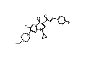 CCN1CCN(c2cc3c(cc2F)c(=O)c(C(=O)/C=C/c2ccc(F)cc2)cn3C2CC2)CC1